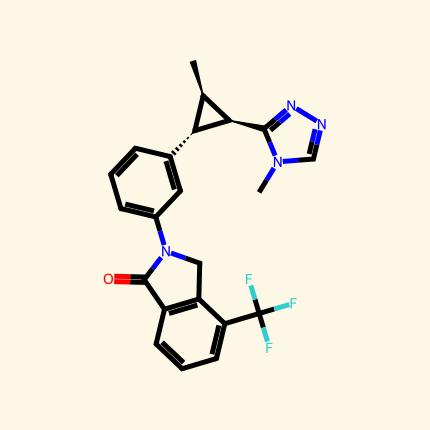 C[C@@H]1[C@@H](c2cccc(N3Cc4c(cccc4C(F)(F)F)C3=O)c2)[C@@H]1c1nncn1C